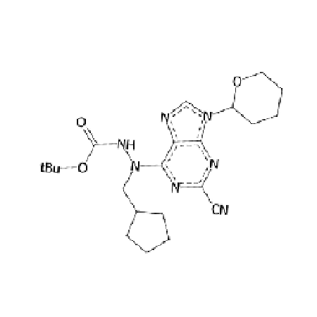 CC(C)(C)OC(=O)NN(CC1CCCC1)c1nc(C#N)nc2c1ncn2C1CCCCO1